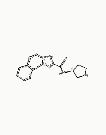 O=C(N[C@H]1CCNC1)c1cc2c(ccc3ccccc32)[nH]1